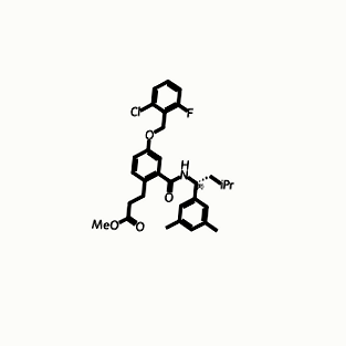 COC(=O)CCc1ccc(OCc2c(F)cccc2Cl)cc1C(=O)N[C@H](CC(C)C)c1cc(C)cc(C)c1